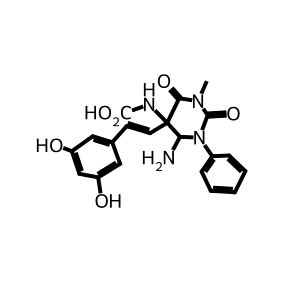 CN1C(=O)N(c2ccccc2)C(N)C(C=Cc2cc(O)cc(O)c2)(NC(=O)O)C1=O